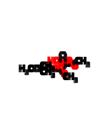 C=CC(=O)OCC(COC(COC)COc1ccc(C(C)(C)c2ccc(C)cc2)cc1)OC(=O)C1CC=CCC1C(=O)O